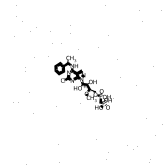 CO[C@H](COP(=O)(O)CP(=O)(O)O)[C@@H](O)[C@@H](O)n1ncc2c(N[C@H](C)c3ccccc3)nc(Cl)nc21